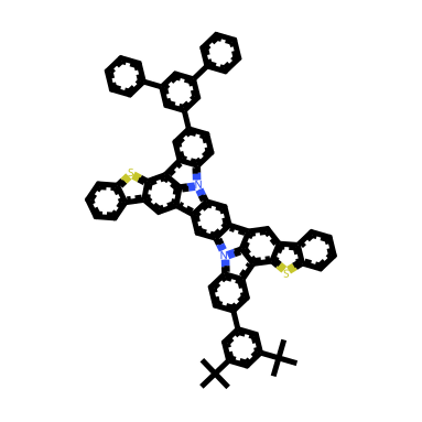 CC(C)(C)c1cc(-c2ccc3c(c2)c2c4sc5ccccc5c4cc4c5cc6c(cc5n3c42)c2cc3c4ccccc4sc3c3c4cc(-c5cc(-c7ccccc7)cc(-c7ccccc7)c5)ccc4n6c23)cc(C(C)(C)C)c1